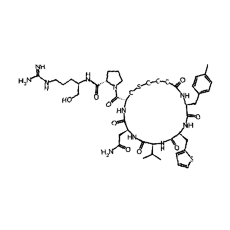 Cc1ccc(C[C@@H]2NC(=O)CCCSC[C@@H](C(=O)N3CCC[C@H]3C(=O)N[C@@H](CO)CCCNC(=N)N)NC(=O)[C@H](CC(N)=O)NC(=O)[C@H](C(C)C)NC(=O)[C@H](Cc3cccs3)NC2=O)cc1